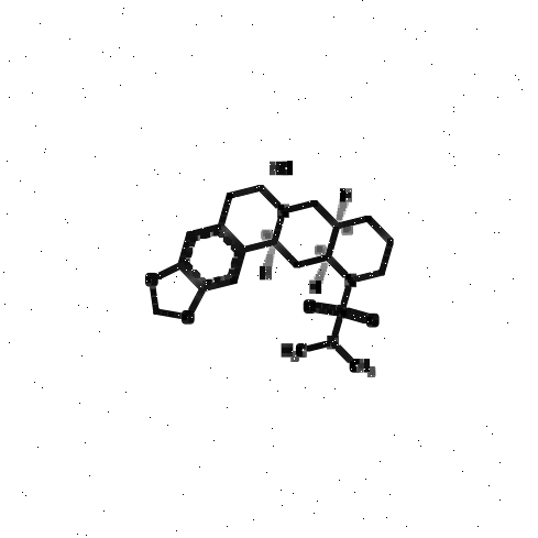 CN(C)S(=O)(=O)N1CCC[C@@H]2CN3CCc4cc5c(cc4[C@@H]3C[C@@H]21)OCO5.Cl